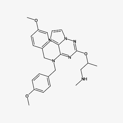 CNCC(C)Oc1nc(N(Cc2ccc(OC)cc2)Cc2ccc(OC)cc2)c2nccn2n1